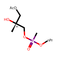 CCCOP(C)(=O)OC[C@](C)(O)COC(C)=O